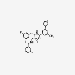 Cc1cc(C(=O)N[C@@H](Cc2cc(F)cc(F)c2)[C@@H](O)CNCc2cccc(I)c2)cc(-c2ccsc2)c1